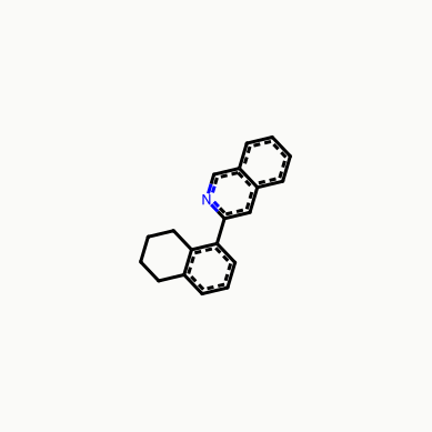 c1cc2c(c(-c3cc4ccccc4cn3)c1)CCCC2